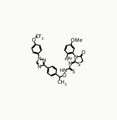 CCCc1ccc(OC)cc1N1C(=O)CS/C1=N\C(=S)NOC(C)c1ccc(-c2ncn(-c3ccc(OC(F)(F)F)cc3)n2)cc1